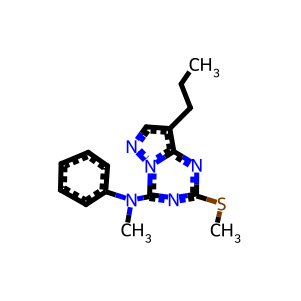 CCCc1cnn2c(N(C)c3ccccc3)nc(SC)nc12